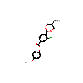 CCCCCCCCCC1COC(c2ccc(C(=O)Oc3ccc(OCCCCCCCC)cc3)cc2F)OC1